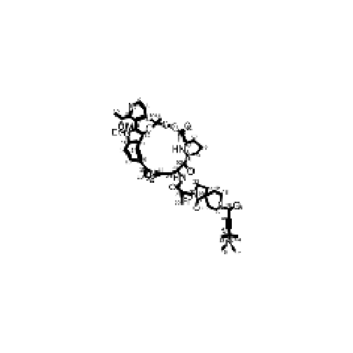 CCn1c(-c2cccnc2[C@H](C)OC)c2c3cc(ccc31)-c1csc(n1)C[C@H](NC(=O)C(C(C)C)N1CCC3(CCN(C(=O)C#CC(C)(C)N(C)C)CC3)C1=O)C(=O)N1CCC[C@H](N1)C(=O)OCC(C)(C)C2